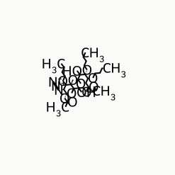 CCCCOC1[C@@H](O[C@@H]2OC(C(=O)OC)[C@@H](OCCCC)[C@@H](OCCCC)C2O)C(CO)O[C@H](OC(C)=O)[C@H]1N=[N+]=[N-]